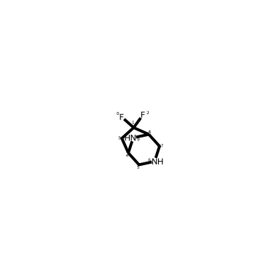 FC1(F)CC2CNCC1N2